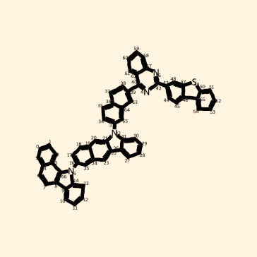 c1ccc2c(c1)ccc1c3ccccc3n(-c3ccc4cc5c(cc4c3)c3ccccc3n5-c3ccc4ccc(-c5nc(-c6ccc7c(c6)sc6ccccc67)nc6ccccc56)cc4c3)c21